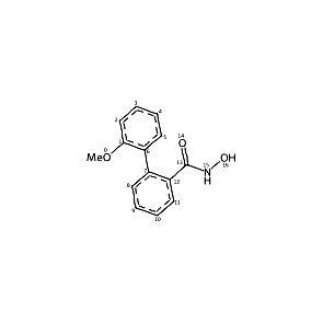 COc1ccccc1-c1ccccc1C(=O)NO